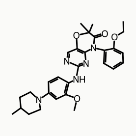 CCOc1ccccc1N1C(=O)C(C)(C)Oc2cnc(Nc3ccc(N4CCC(C)CC4)cc3OC)nc21